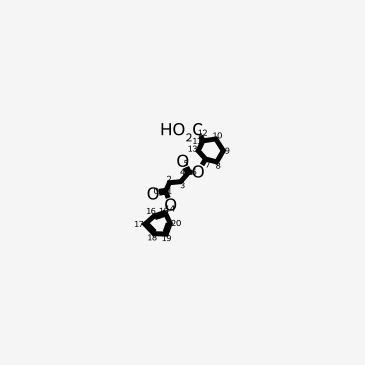 O=C(CCC(=O)OC1CCCC(C(=O)O)C1)Oc1ccccc1